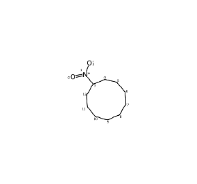 O=[N+]([O-])C1CCCCCCCCC1